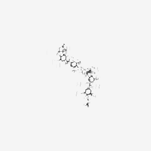 CCC(C)(CC1CO1)Oc1c(Br)cc(C(C)(C)c2cc(Br)c(OCC(O)CC(C)(C)Oc3c(Br)cc(C(C)(C)c4cc(Br)c(OCC5CO5)c(Br)c4)cc3Br)c(Br)c2)cc1Br